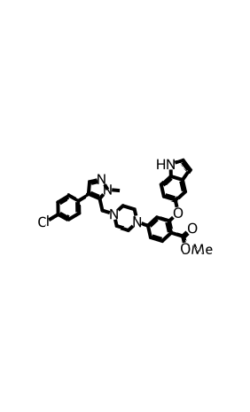 COC(=O)c1ccc(N2CCN(Cc3c(-c4ccc(Cl)cc4)cnn3C)CC2)cc1Oc1ccc2[nH]ccc2c1